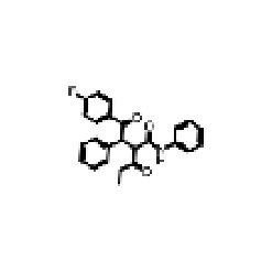 CCC(=O)C(C(=O)Nc1ccccc1)C(C(=O)c1ccc(F)cc1)c1ccccc1